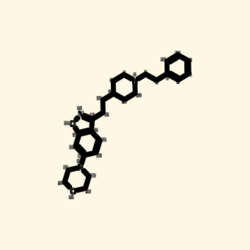 c1ccc(CCN2CCC(CCc3noc4cc(N5CCOCC5)ccc34)CC2)cc1